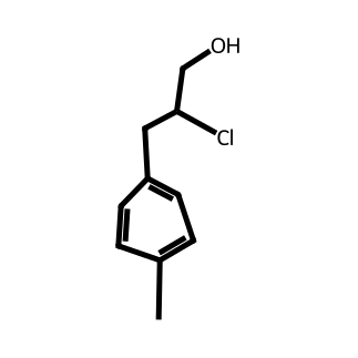 Cc1ccc(CC(Cl)CO)cc1